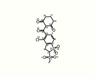 CS(=O)(=O)C1Cc2c(ccc(C(=O)C3C(=O)CCCC3=O)c2Cl)S1(=O)=O